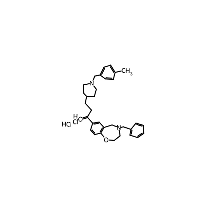 Cc1ccc(CN2CCC(CCC(=O)c3ccc4c(c3)CN(Cc3ccccc3)CCO4)CC2)cc1.Cl.Cl